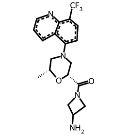 C[C@@H]1CN(c2ccc(C(F)(F)F)c3ncccc23)C[C@H](C(=O)N2CC(N)C2)O1